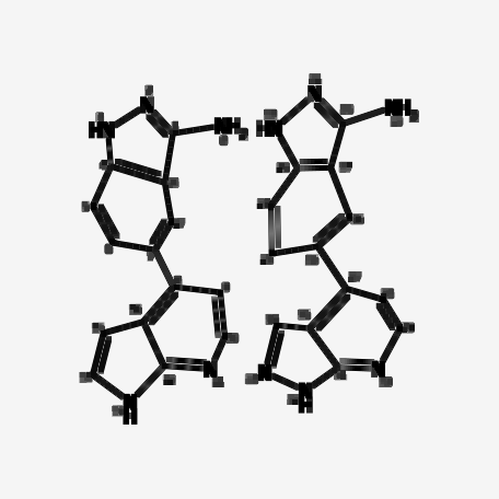 Nc1n[nH]c2ccc(-c3ccnc4[nH]ccc34)cc12.Nc1n[nH]c2ccc(-c3ccnc4[nH]ncc34)cc12